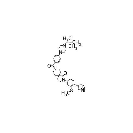 COc1cc(N2CCC3(CCN(C(=O)c4ccc(N5CCN(CC(C)(C)C)CC5)cc4)CC3)C2=O)ccc1-c1cn[nH]c1